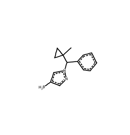 Bc1cnn(C(c2ccccc2)C2(C)CC2)c1